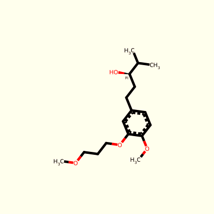 COCCCOc1cc(CC[C@@H](O)C(C)C)ccc1OC